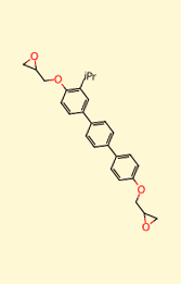 CC(C)c1cc(-c2ccc(-c3ccc(OCC4CO4)cc3)cc2)ccc1OCC1CO1